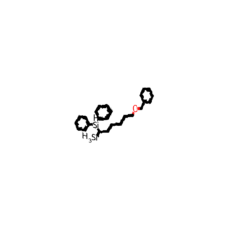 [SiH3]C(CCCCCOCc1ccccc1)[SiH](c1ccccc1)c1ccccc1